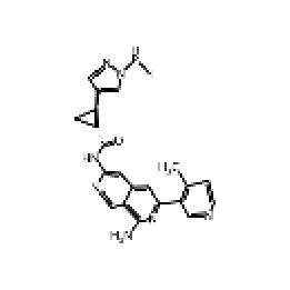 Cc1ccncc1-c1cc2cc(NC(=O)[C@@H]3C[C@H]3c3cnn(PI)c3)ncc2c(N)n1